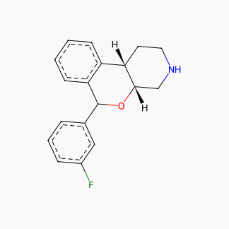 Fc1cccc(C2O[C@H]3CNCC[C@H]3c3ccccc32)c1